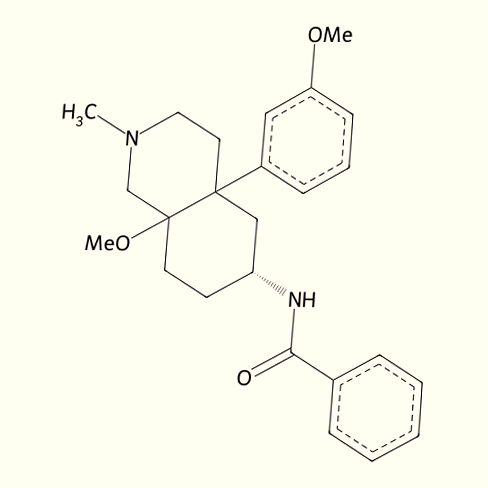 COc1cccc(C23CCN(C)CC2(OC)CC[C@@H](NC(=O)c2ccccc2)C3)c1